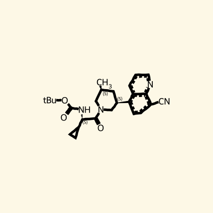 C[C@H]1C[C@@H](c2ccc(C#N)c3ncccc23)CN(C(=O)[C@@H](NC(=O)OC(C)(C)C)C2CC2)C1